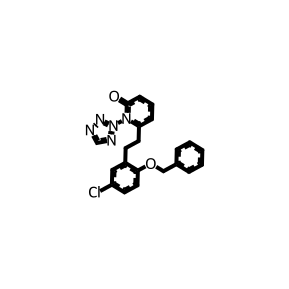 O=c1cccc(CCc2cc(Cl)ccc2OCc2ccccc2)n1-n1ncnn1